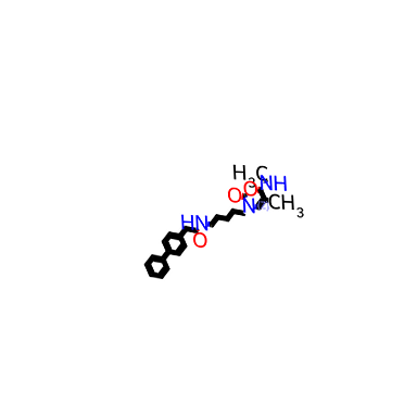 CNC(=O)/C(C)=C\N(C=O)CCCCCNC(=O)Cc1ccc(-c2ccccc2)cc1